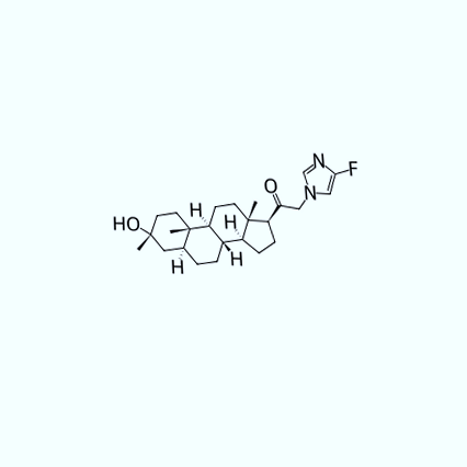 C[C@@]1(O)CC[C@@]2(C)[C@@H](CC[C@@H]3[C@@H]2CC[C@]2(C)[C@@H](C(=O)Cn4cnc(F)c4)CC[C@@H]32)C1